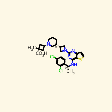 C[C@@H](Nc1nc(N2CC([C@H]3CCCN([C@H]4C[C@](C)(C(=O)O)C4)C3)C2)nc2ccsc12)c1ccc(Cl)cc1Cl